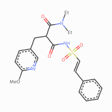 CCN(CC)C(=O)C(Cc1ccc(OC)nc1)C(=O)NS(=O)(=O)C=Cc1ccccc1